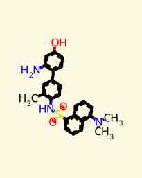 Cc1cc(-c2ccc(O)cc2N)ccc1NS(=O)(=O)c1cccc2c(N(C)C)cccc12